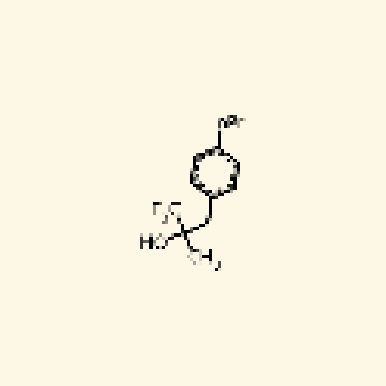 CCCc1ccc(CC(C)(O)C(F)(F)F)cc1